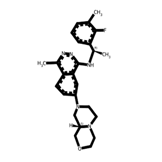 Cc1cccc([C@@H](C)Nc2nnc(C)c3ccc(N4CCN5CCOC[C@@H]5C4)cc23)c1F